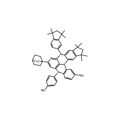 CC(C)(C)c1ccc(N2c3ccc(C(C)(C)C)cc3B3c4cc5c(cc4N(c4ccc6c(c4)C(C)(C)CC6(C)C)c4nc(C67CCC(CC6)CC7)cc2c43)C(C)(C)CC5(C)C)cc1